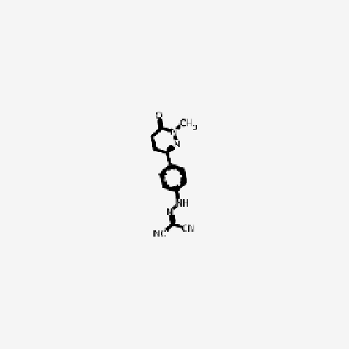 CN1N=C(c2ccc(NN=C(C#N)C#N)cc2)CCC1=O